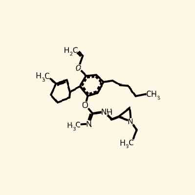 C=COc1cc(CCCCC)cc(O/C(=N\C)NCC2CN2CC)c1C1C=C(C)CCC1